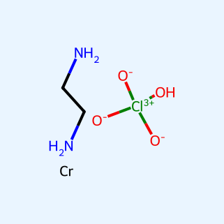 NCCN.[Cr].[O-][Cl+3]([O-])([O-])O